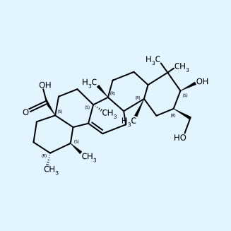 C[C@@H]1CC[C@]2(C(=O)O)CC[C@]3(C)C(=CCC4[C@@]5(C)C[C@H](CO)[C@H](O)C(C)(C)C5CC[C@]43C)C2[C@H]1C